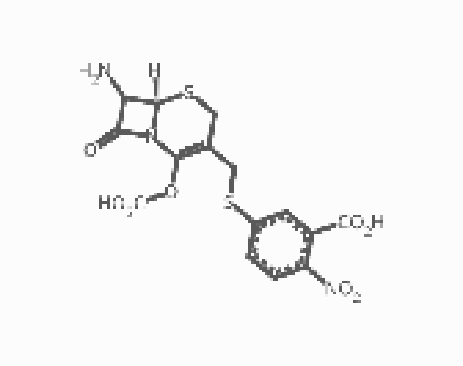 NC1C(=O)N2C(OC(=O)O)=C(CSc3ccc([N+](=O)[O-])c(C(=O)O)c3)CS[C@@H]12